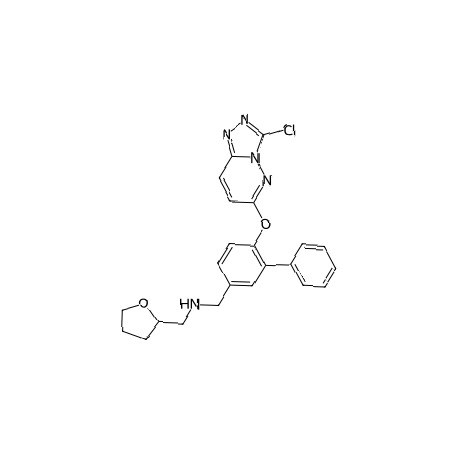 Clc1nnc2ccc(Oc3ccc(CNCC4CCCO4)cc3-c3ccccc3)nn12